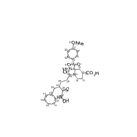 COc1ccc(S(=O)(=O)C2(N)CC(C(=O)O)CCN2C(=O)CCC(Cc2ccccc2)C(=O)NO)cc1